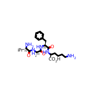 CC(C)[C@H](N)C(=O)N[C@@H](C)C(=O)N[C@@H](Cc1ccccc1)C(=O)N[C@@H](CCCCN)C(=O)O